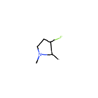 [CH2]C1C(F)CCN1C